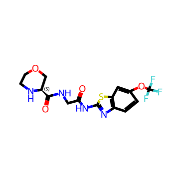 O=C(CNC(=O)[C@@H]1COCCN1)Nc1nc2ccc(OC(F)(F)F)cc2s1